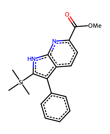 COC(=O)c1ccc2c(-c3ccccc3)c([Si](C)(C)C)[nH]c2n1